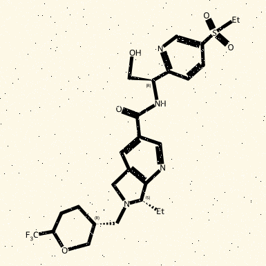 CC[C@H]1c2ncc(C(=O)N[C@@H](CO)c3ccc(S(=O)(=O)CC)cn3)cc2CN1C[C@H]1CCC(C(F)(F)F)OC1